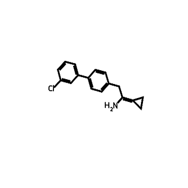 NC(Cc1ccc(-c2cccc(Cl)c2)cc1)=C1CC1